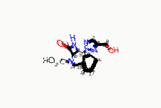 O=C1N[C@H](Cn2ncc(CO)n2)[C@@H]1N(Cc1ccccc1)C(=O)O